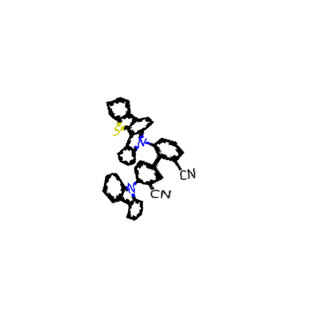 N#Cc1cc(-c2c(C#N)cccc2-n2c3ccccc3c3c4sc5ccccc5c4ccc32)ccc1-n1c2ccccc2c2ccccc21